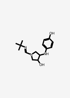 CC(C)(C)N=CN1CC(O)C(Nc2ccc(O)cc2)C1